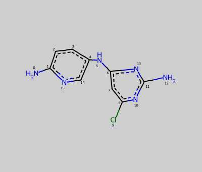 Nc1ccc(Nc2cc(Cl)nc(N)n2)cn1